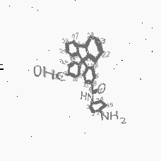 Nc1ccc(NC(=O)c2ccc(C3(c4ccc(C=O)cc4)c4ccccc4-c4ccccc43)cc2)cc1